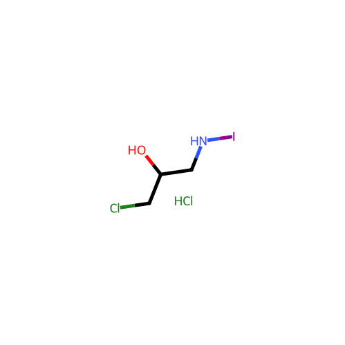 Cl.OC(CCl)CNI